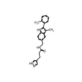 Cc1ccccc1-c1[nH]c2ccc(CNC(=O)CCc3cn[nH]c3)cc2c1C